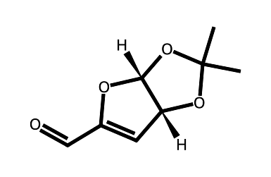 CC1(C)O[C@H]2OC(C=O)=C[C@H]2O1